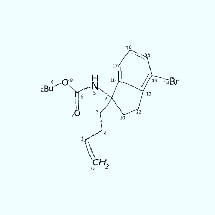 C=CCCC1(NC(=O)OC(C)(C)C)CCc2c(Br)cccc21